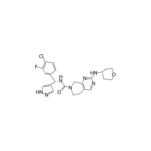 O=C(N[C@H](c1cn[nH]c1)c1ccc(Cl)c(F)c1)N1CCc2cnc(NC3CCOCC3)nc2C1